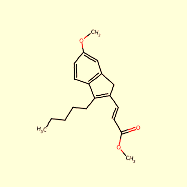 CCCCCC1=C(C=CC(=O)OC)Cc2cc(OC)ccc21